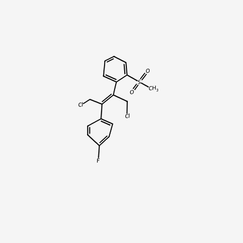 CS(=O)(=O)c1ccccc1C(CCl)=C(CCl)c1ccc(F)cc1